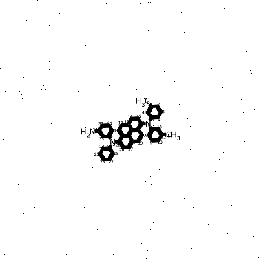 Cc1cccc(N(c2cccc(C)c2)c2ccc3ccc4c(N(c5ccccc5)c5cccc(N)c5)ccc5ccc2c3c54)c1